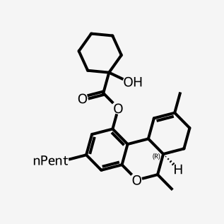 CCCCCc1cc(OC(=O)C2(O)CCCCC2)c2c(c1)OC(C)[C@@H]1CCC(C)=CC21